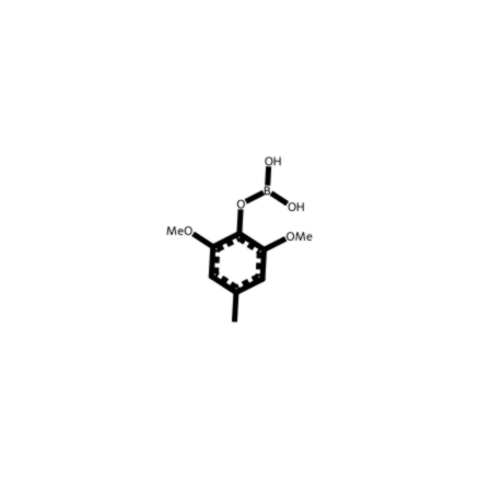 COc1cc(C)cc(OC)c1OB(O)O